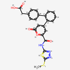 CSc1nnc(NC(=O)c2cc(-c3ccccc3-c3ccc(CC(=O)O)cc3)cc(=O)o2)s1